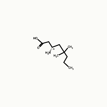 CCCC(C)(C)C[C@H](N)CC(=O)O